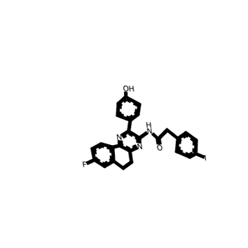 O=C(Cc1ccc(I)cc1)Nc1nc2c(nc1-c1ccc(O)cc1)-c1ccc(F)cc1CC2